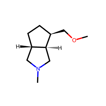 COC[C@@H]1CC[C@H]2CN(C)C[C@H]12